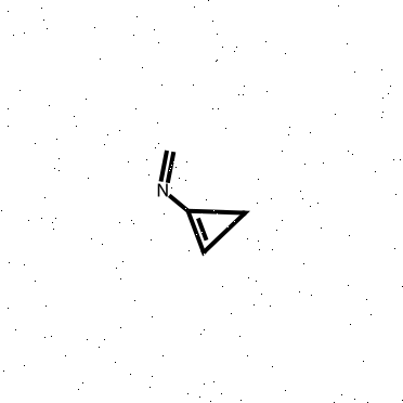 C=NC1=CC1